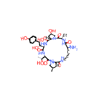 CC[C@@H]1NC(=O)[C@@H](N)CCCNC(=O)[C@@H]2C[C@@H](C)CN2C(=O)[C@H]([C@@H](C)O)NC(=O)[C@H]([C@H](O)[C@@H](O)c2ccc(O)cc2)NC(=O)[C@@H]2C[C@@H](O)CN2C1=O